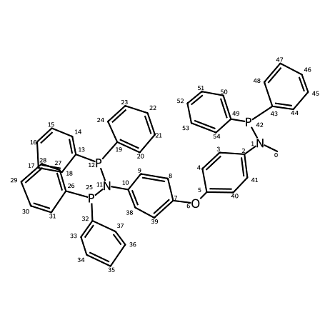 CN(c1ccc(Oc2ccc(N(P(c3ccccc3)c3ccccc3)P(c3ccccc3)c3ccccc3)cc2)cc1)P(c1ccccc1)c1ccccc1